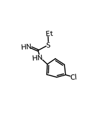 CCSC(=N)Nc1ccc(Cl)cc1